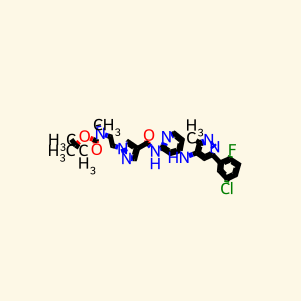 Cc1nnc(-c2cc(Cl)ccc2F)cc1Nc1ccnc(NC(=O)c2cnn(CCN(C)C(=O)OC(C)(C)C)c2)c1